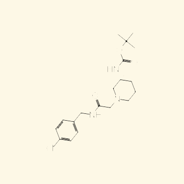 CC(C)(C)OC(=O)N[C@@H]1CCCN(CC(=O)NCc2ccc(Cl)cc2)C1